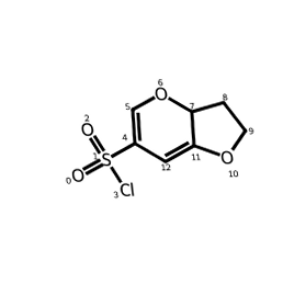 O=S(=O)(Cl)C1=COC2CCOC2=C1